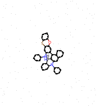 B1c2ccccc2N(c2ccccc2)c2cc3ccccc3c(-c3cc4c(cc3Nc3ccccc3)Sc3ccccc3O4)c21